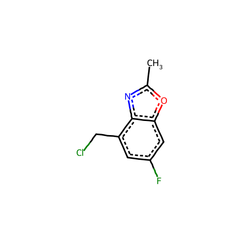 Cc1nc2c(CCl)cc(F)cc2o1